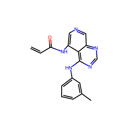 C=CC(=O)Nc1cncc2ncnc(Nc3cccc(C)c3)c12